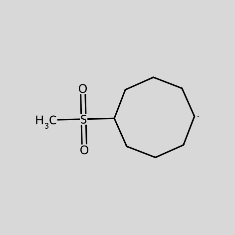 CS(=O)(=O)C1CCC[CH]CCC1